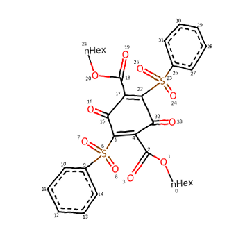 CCCCCCOC(=O)C1=C(S(=O)(=O)c2ccccc2)C(=O)C(C(=O)OCCCCCC)=C(S(=O)(=O)c2ccccc2)C1=O